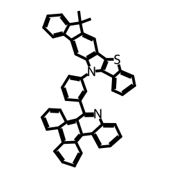 CC1(C)c2ccccc2-c2cc3c(cc21)c1sc2ccccc2c1n3-c1cccc(-c2nc3ccccc3c3c4ccccc4c4ccccc4c23)c1